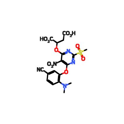 CN(C)c1ccc(C#N)cc1Oc1nc(S(C)(=O)=O)nc(OC(CC(=O)O)C(=O)O)c1[N+](=O)[O-]